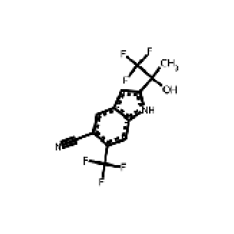 CC(O)(c1cc2cc(C#N)c(C(F)(F)F)cc2[nH]1)C(F)(F)F